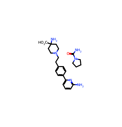 NC(=O)N1CCCC1.Nc1cccc(-c2ccc(CCN3CCC(N)(C(=O)O)CC3)cc2)n1